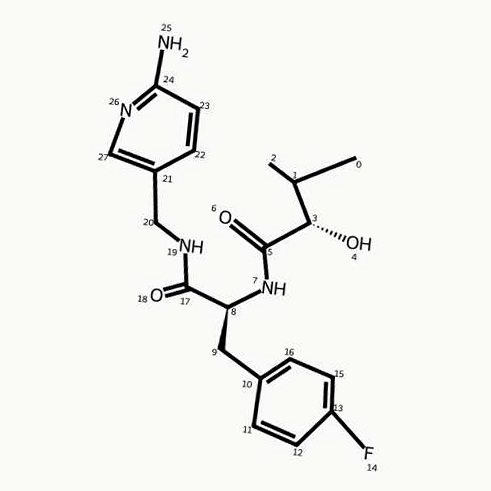 CC(C)[C@H](O)C(=O)N[C@@H](Cc1ccc(F)cc1)C(=O)NCc1ccc(N)nc1